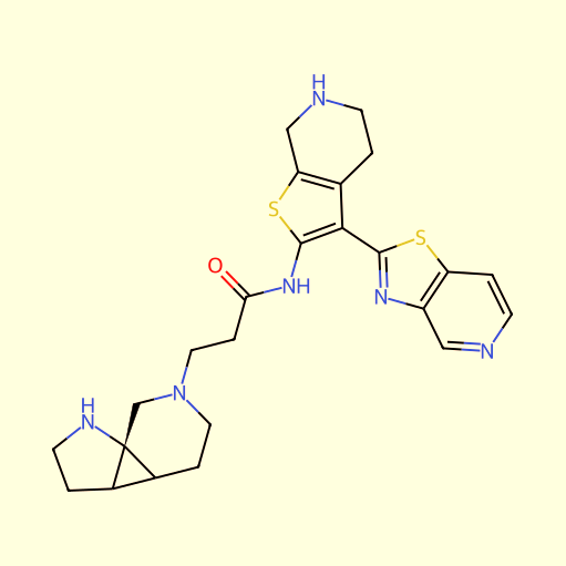 O=C(CCN1CCC2C3CCN[C@@]32C1)Nc1sc2c(c1-c1nc3cnccc3s1)CCNC2